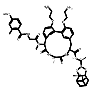 CCCCCCCCc1ccc(C(=O)NCC(=O)N(C)C2C(=O)N[C@@H](C)C(=O)NC(C(=O)N[C@@H](C)B3OC4CC5CC(C5(C)C)[C@]4(C)O3)Cc3ccc(OCCN)c(c3)-c3cc2ccc3OCCN)c(C)c1